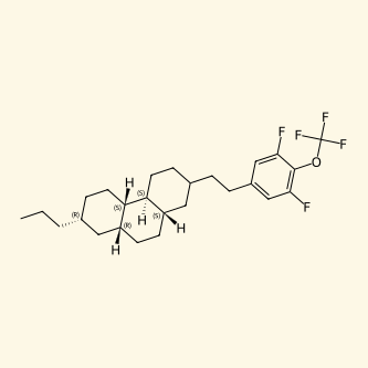 CCC[C@@H]1CC[C@H]2[C@H](CC[C@H]3CC(CCc4cc(F)c(OC(F)(F)F)c(F)c4)CC[C@@H]32)C1